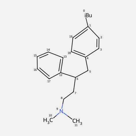 CCC(C)c1ccc(CC(CCN(C)C)c2ccccc2)cc1